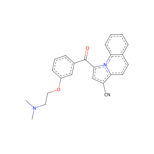 CN(C)CCOc1cccc(C(=O)c2cc(C#N)c3ccc4ccccc4n23)c1